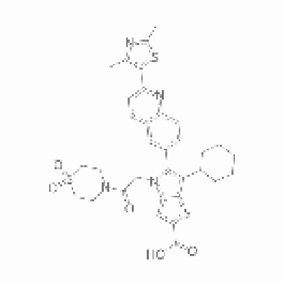 Cc1nc(C)c(-c2ccc3cc(-c4c(C5CCCCC5)c5sc(C(=O)O)cc5n4CC(=O)N4CCS(=O)(=O)CC4)ccc3n2)s1